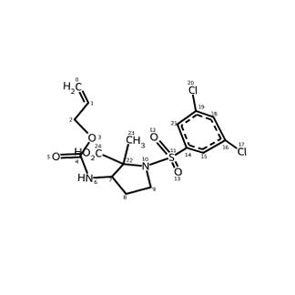 C=CCOC(=O)NC1CCN(S(=O)(=O)c2cc(Cl)cc(Cl)c2)C1(C)C(=O)O